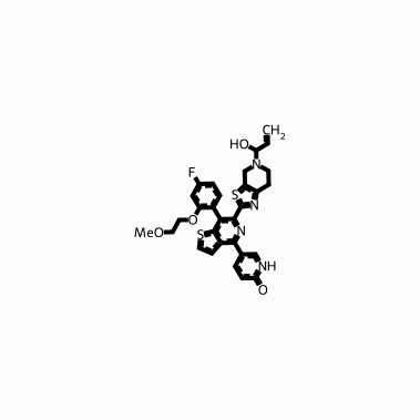 C=CC(O)N1CCc2nc(-c3nc(-c4ccc(=O)[nH]c4)c4ccsc4c3-c3ccc(F)cc3OCCOC)sc2C1